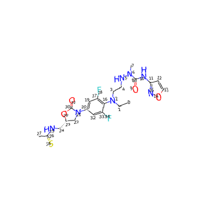 CCN(CCNN(C)C(=O)Nc1ccon1)c1c(F)cc(N2C[C@H](CNC(C)=S)OC2=O)cc1F